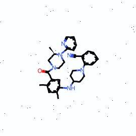 Cc1cc(C)c(C(=O)N2CCN(c3ccccn3)[C@H](C)C2)cc1NC1CCN(c2ccccc2C#N)CC1